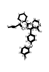 CC#CC(=O)N1CCCC[C@H]1c1nc(-c2ccc(Oc3cccc(F)c3)cc2)c2c(C)nccn12